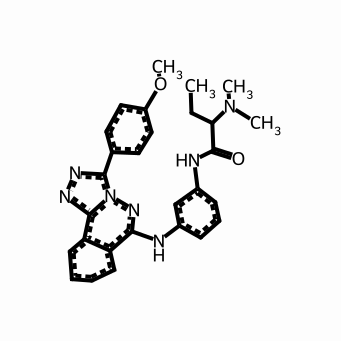 CCC(C(=O)Nc1cccc(Nc2nn3c(-c4ccc(OC)cc4)nnc3c3ccccc23)c1)N(C)C